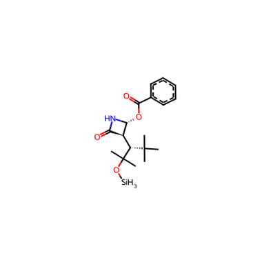 CC(C)(C)[C@@H]([C@H]1C(=O)N[C@@H]1OC(=O)c1ccccc1)C(C)(C)O[SiH3]